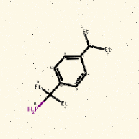 CCC(CC)c1ccc(C(P)(CC)CC)cc1